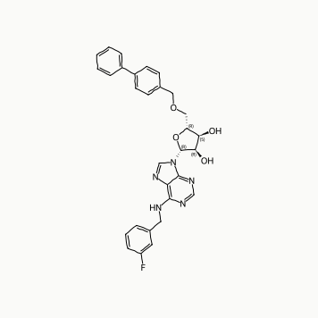 O[C@@H]1[C@H](O)[C@@H](COCc2ccc(-c3ccccc3)cc2)O[C@H]1n1cnc2c(NCc3cccc(F)c3)ncnc21